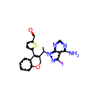 CC(C1=C(c2ccc(C=O)s2)c2ccccc2OC1)n1nc(I)c2c(N)ncnc21